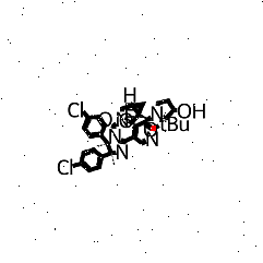 CCOc1cc(C(C)(C)C)ncc1C1=N[C@@](C)(c2ccc(Cl)cc2)[C@@](C)(c2ccc(Cl)cc2)N1C(=O)N1C[C@H]2C[C@]2(C(=O)N2CCC(O)C2)C1